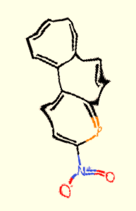 O=[N+]([O-])c1ccc2c(ccc3ccccc32)p1